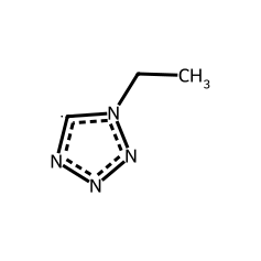 CCn1[c]nnn1